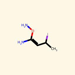 CC(I)/C=C(/N)ON